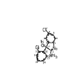 NC1=Nc2ccc(Cl)cc2C1(O)c1ccccc1Cl